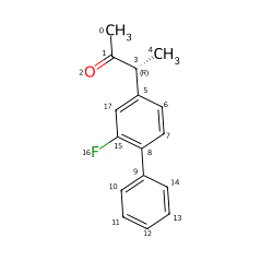 CC(=O)[C@H](C)c1ccc(-c2ccccc2)c(F)c1